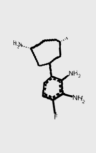 C[C@@H]1CC(c2ccc(F)c(N)c2N)C[C@H](N)C1